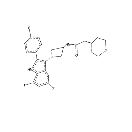 O=C(CC1CCOCC1)N[C@H]1C[C@@H](c2c(-c3ccc(F)cc3)[nH]c3c(F)cc(F)cc32)C1